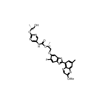 COc1cnc2c(-c3nc4cc(F)c(OC[C@@H](C)OC(=O)Nc5cnc(O[C@H](C)CO)nc5)cc4s3)cc(C)cc2n1